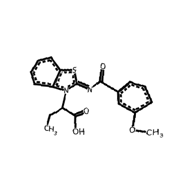 CCC(C(=O)O)n1c(=NC(=O)c2cccc(OC)c2)sc2ccccc21